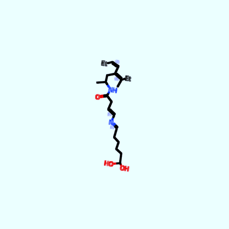 CC/C=C\C(CC(C)NC(=O)C/C=C/N=C/CCCCC(O)O)=C(\C)CC